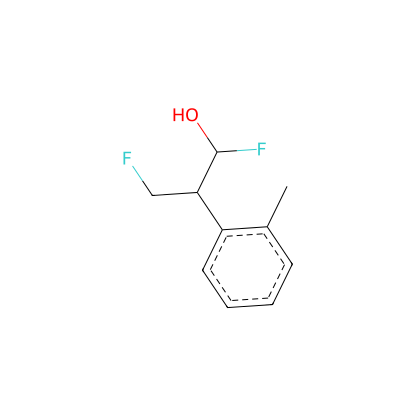 Cc1ccccc1C(CF)C(O)F